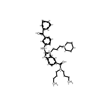 CCCCN(CCCC)C(=O)c1ccc2nc(Nc3cccc(C(=O)c4ccccc4)c3)n(CCCN3CCCCC3)c2c1